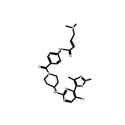 Cc1nc(C)c(-c2nc(NC3CCN(C(=O)c4ccc(NC(=O)/C=C/CN(C)C)cc4)CC3)ncc2Cl)s1